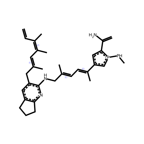 C=C/C(C)=C(C)\C=C(/C)Cc1cc2c(nc1NC/C(C)=C/C=C(\C)c1cc(C(=C)N)p(PC)c1)CCC2